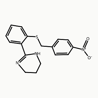 O=[N+]([O-])c1ccc(CSc2ccccc2C2=NCCCN2)cc1